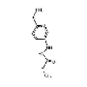 COC(=O)NNc1ccc(CN)cc1